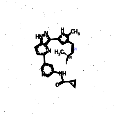 Cc1[nH]c(-c2n[nH]c3ccc(-c4cncc(NC(=O)C5CC5)c4)nc23)cc1/C=C\[C@@H](C)I